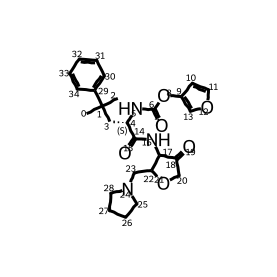 CC(C)(C[C@H](NC(=O)Oc1ccoc1)C(=O)NC1C(=O)COC1CN1CCCC1)c1ccccc1